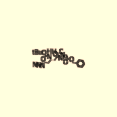 CN(CC(=O)OCc1ccccc1)NC(=O)C[C@H](CCN=[N+]=[N-])NC(=O)OC(C)(C)C